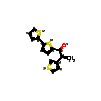 C=C(C(=O)c1ccc(-c2cccs2)s1)c1ccsc1